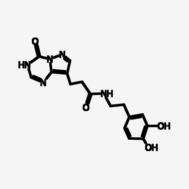 O=C(CCc1cnn2c(=O)[nH]cnc12)NCCc1ccc(O)c(O)c1